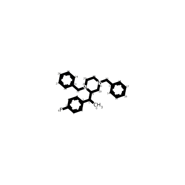 CC(c1ccc(F)cc1)C1CN(Cc2ccccc2)CCN1Cc1ccccc1